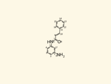 Nc1cccc(NC(=O)C=Cc2ccccc2)c1